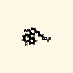 CC(=O)N1CCN(CCCC(=O)O)CC1C1CC=CNC2C=CC=CC21